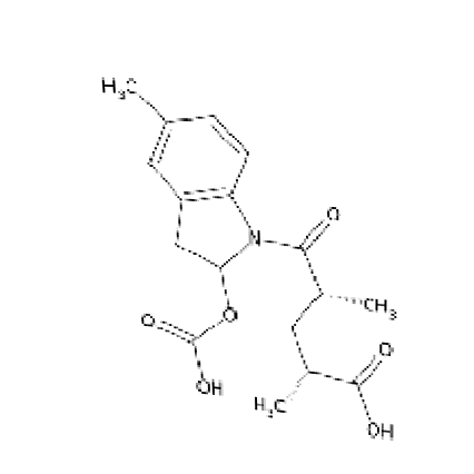 Cc1ccc2c(c1)CC(OC(=O)O)N2C(=O)[C@H](C)C[C@@H](C)C(=O)O